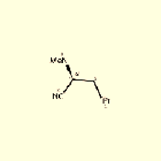 CN[C@H](C#N)CC(C)C